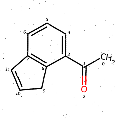 CC(=O)c1cccc2c1CC=[C]2